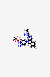 CC(C)(C)OC(=O)NC1CCC(n2c(=O)c3cc(Cl)ccc3c3cnc(NCC4CC4)nc32)CC1